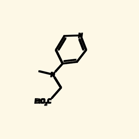 CCOC(=O)CN(C)c1ccncc1